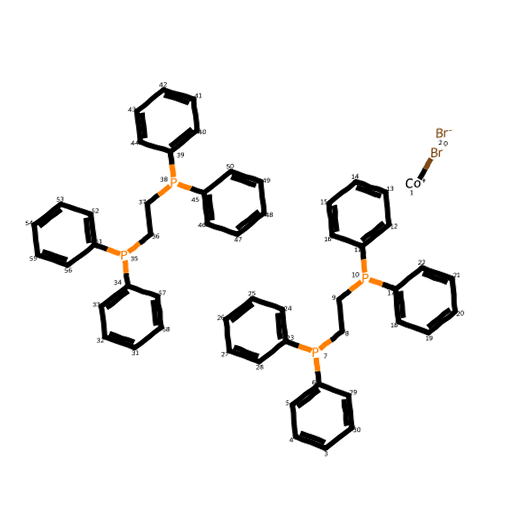 [Br-].[Co+][Br].c1ccc(P(CCP(c2ccccc2)c2ccccc2)c2ccccc2)cc1.c1ccc(P(CCP(c2ccccc2)c2ccccc2)c2ccccc2)cc1